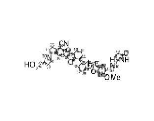 COc1nc(O[C@H]2CCc3c(-c4cccc(-c5cc6cc7c(c(C#N)c6o5)CC[C@H]7N5CC[C@@H](C(=O)O)C5)c4Cl)cccc32)c(C(F)(F)F)nc1CNC[C@H]1CCC(=O)N1